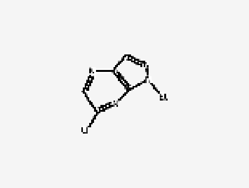 CCn1ncc2ncc(Cl)nc21